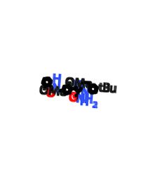 COc1ccccc1C(=O)NCc1ccc(-c2nn3c(c2C(N)=O)Nc2ccc(C(C)(C)C)cc2CC3)c(OC)c1